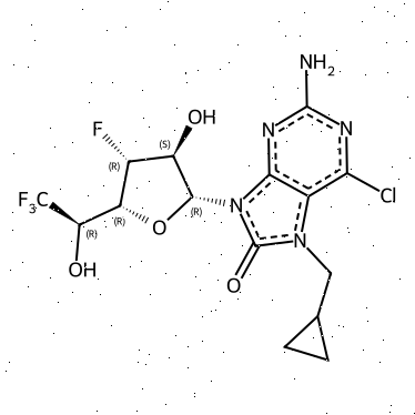 Nc1nc(Cl)c2c(n1)n([C@@H]1O[C@H]([C@@H](O)C(F)(F)F)[C@H](F)[C@H]1O)c(=O)n2CC1CC1